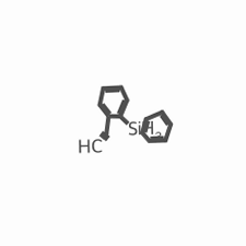 C#Cc1ccccc1[SiH3].c1ccccc1